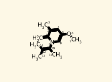 C=C1C(C)=CC(OC)=CN1C(C)=C(C)C